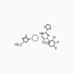 CCOC(=O)C1=C([C@H]2CC[C@H](c3cc(C(=O)O)nn3C)CC2)NC(c2nccs2)=NC1c1ccc(F)c(F)c1Cl